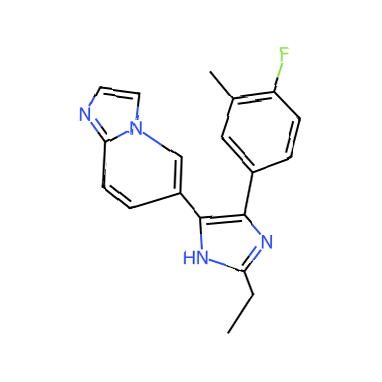 CCc1nc(-c2ccc(F)c(C)c2)c(-c2ccc3nccn3c2)[nH]1